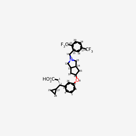 O=C(O)C[C@H](c1cccc(OC2CC3CN(Cc4cc(C(F)(F)F)ccc4C(F)(F)F)CC3C2)c1)C1CC1